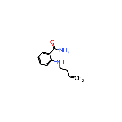 C=CCCNc1ccccc1C(N)=O